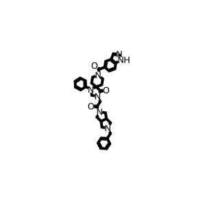 O=C(CN1CN(c2ccccc2)C2(CCN(C(=O)c3ccc4[nH]ncc4c3)CC2)C1=O)N1CC2CN(Cc3ccccc3)CC2C1